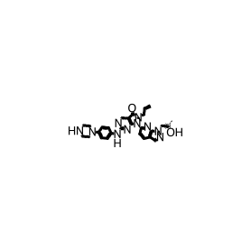 C=CCn1c(=O)c2cnc(Nc3ccc(N4CCNCC4)cc3)nc2n1-c1ccc2cnn(C[C@H](C)O)c2n1